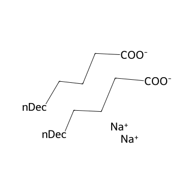 CCCCCCCCCCCCCC(=O)[O-].CCCCCCCCCCCCCC(=O)[O-].[Na+].[Na+]